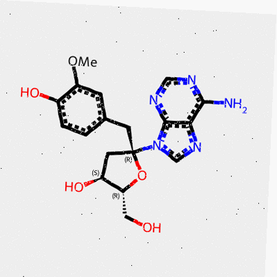 COc1cc(C[C@]2(n3cnc4c(N)ncnc43)C[C@H](O)[C@@H](CO)O2)ccc1O